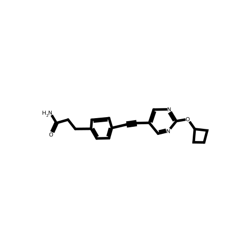 NC(=O)[CH]Cc1ccc(C#Cc2cnc(OC3CCC3)nc2)cc1